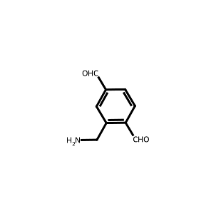 NCc1cc(C=O)ccc1C=O